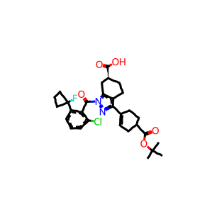 CC(C)(C)OC(=O)C1CC=C(c2nn(C(=O)c3c(Cl)cccc3C3(F)CCC3)c3c2CC[C@H](C(=O)O)C3)CC1